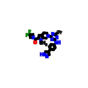 CC(C)c1nc(Nc2ccc(-c3cn[nH]c3)cc2)nc(N2CCc3cc(C(=O)N4CC(F)(F)C4)n(C)c3C2)n1